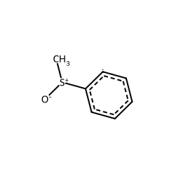 C[S+]([O-])c1[c]cccc1